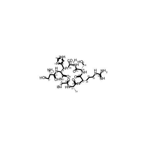 CC[C@H](C)[C@H](NC(=O)[C@H](Cc1c[nH]cn1)NC(=O)[C@@H](N)CO)C(=O)N[C@@H](C)C(=O)N[C@@H](CCCNC(=N)N)C(=O)N[C@@H](CO)C(=O)N[C@H](C(=O)O)C(C)C